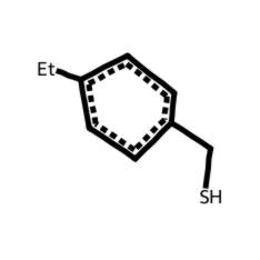 [CH2]Cc1ccc(CS)cc1